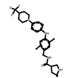 Cc1cc(Nc2ccc(N3CCC(C(F)(F)F)CC3)cc2)c(C)cc1CNC(=O)C1CNC(=O)C1